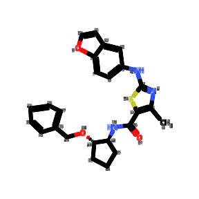 Cc1nc(Nc2ccc3occc3c2)sc1C(=O)N[C@H]1CCC[C@@H]1OCc1ccccc1